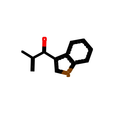 C=C(C)C(=O)c1csc2ccccc12